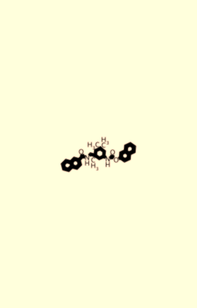 CC1(C)CC(NC(=O)Oc2ccc3ccccc3c2)CC(C)(CNC(=O)c2ccc3ccccc3c2)C1